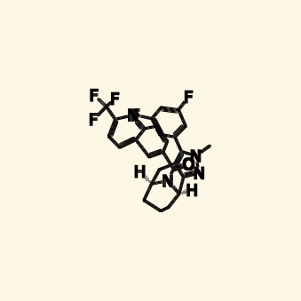 Cn1nc2c(c1-c1cc(F)cc(F)c1)C[C@@H]1CCC[C@H]2N1C(=O)c1ccc2nc(C(F)(F)F)ccc2c1